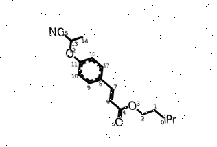 CC(C)CCOC(=O)C=Cc1ccc(OC(C)C#N)cc1